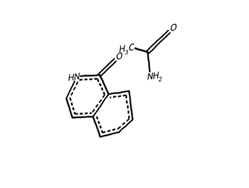 CC(N)=O.O=c1[nH]ccc2ccccc12